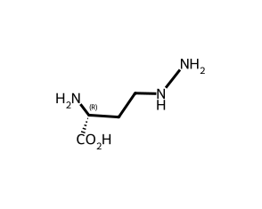 NNCC[C@@H](N)C(=O)O